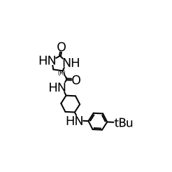 CC(C)(C)c1ccc(NC2CCC(NC(=O)[C@H]3CNC(=O)N3)CC2)cc1